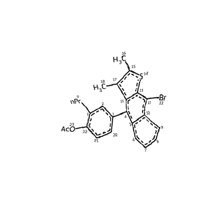 CCCc1cc(-c2c3ccccc3c(Br)c3sc(C)c(C)c23)ccc1OC(C)=O